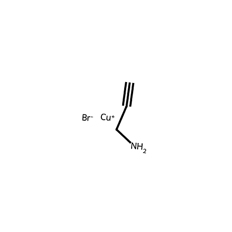 C#CCN.[Br-].[Cu+]